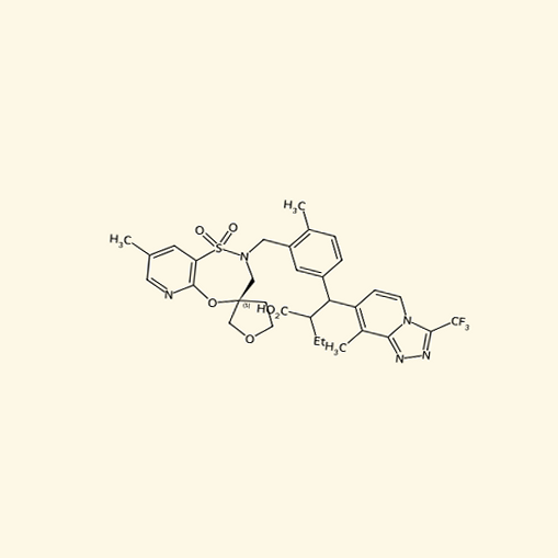 CCC(C(=O)O)C(c1ccc(C)c(CN2C[C@]3(CCOC3)Oc3ncc(C)cc3S2(=O)=O)c1)c1ccn2c(C(F)(F)F)nnc2c1C